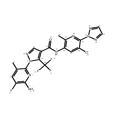 Cc1cc(F)c(N)nc1-n1ncc(C(=O)Nc2cc(Cl)c(-n3nccn3)nc2C)c1C(F)(F)F